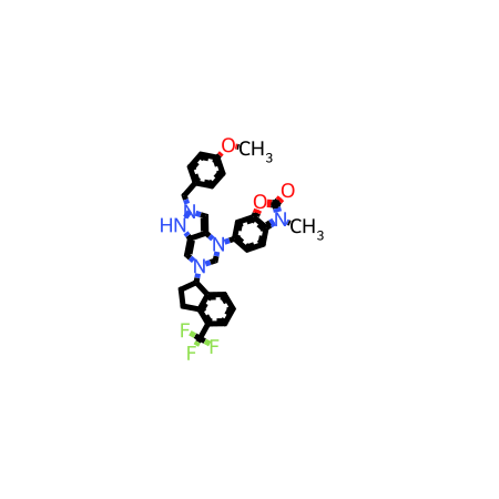 COc1ccc(CN2C=C3C(=CN(C4CCc5c4cccc5C(F)(F)F)CN3c3ccc4c(c3)oc(=O)n4C)N2)cc1